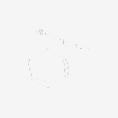 N=[N+]=N.c1ccccc1